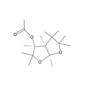 CC(=O)O[C@]1(C)C(C)(C)O[C@]2(C)OC(C)(C)C(C)(C)[C@@]21C